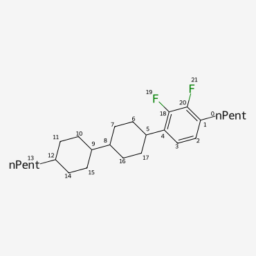 CCCCCc1ccc(C2CCC(C3CCC(CCCCC)CC3)CC2)c(F)c1F